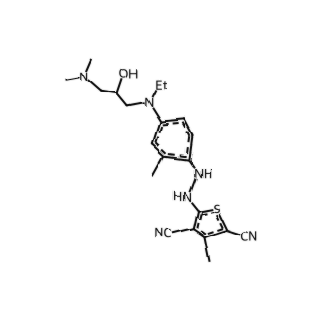 CCN(CC(O)CN(C)C)c1ccc(NNc2sc(C#N)c(C)c2C#N)c(C)c1